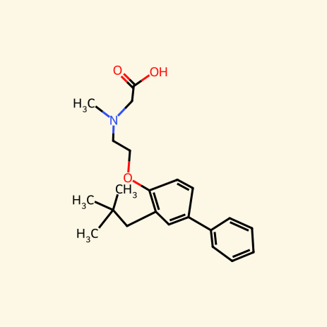 CN(CCOc1ccc(-c2ccccc2)cc1CC(C)(C)C)CC(=O)O